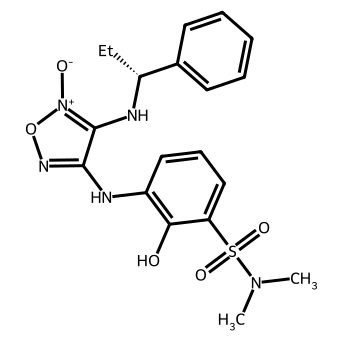 CC[C@@H](Nc1c(Nc2cccc(S(=O)(=O)N(C)C)c2O)no[n+]1[O-])c1ccccc1